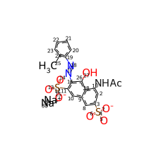 CC(=O)Nc1cc(S(=O)(=O)[O-])cc2cc(S(=O)(=O)[O-])c(N=Nc3ccccc3C)c(O)c12.[Na+].[Na+]